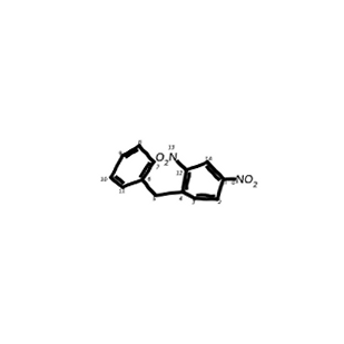 O=[N+]([O-])c1ccc(Cc2ccccc2)c([N+](=O)[O-])c1